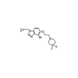 FC1(F)CCN(CCOc2ccc3c(nnn3CC3CC3)c2Br)CC1